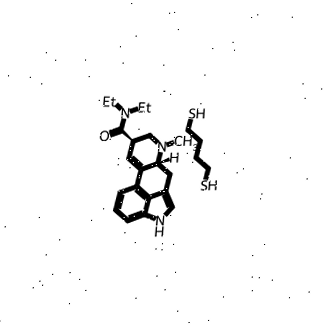 CCN(CC)C(=O)[C@@H]1C=C2c3cccc4[nH]cc(c34)C[C@H]2N(C)C1.SCCCCS